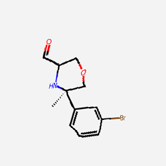 C[C@@]1(c2cccc(Br)c2)COCC(C=O)N1